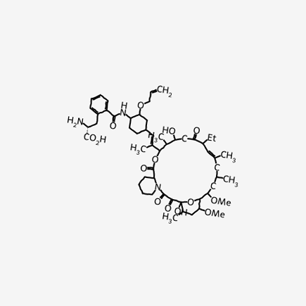 C=CCOC1CC(C=C(C)C2OC(=O)C3CCCCN3C(=O)C(=O)C3(O)OC(C(OC)CC(C)C/C(C)=C/C(CC)C(=O)CC(O)C2C)C(OC)CC3C)CCC1NC(=O)c1ccccc1C[C@@H](N)C(=O)O